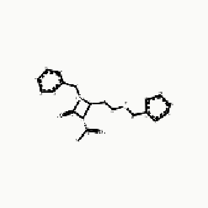 CC(=O)[C@@H]1C(=O)N(Cc2ccccc2)[C@H]1CCOCc1ccccc1